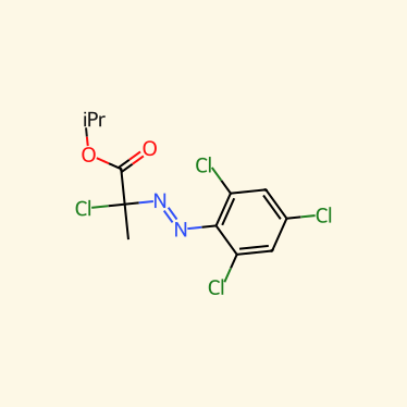 CC(C)OC(=O)C(C)(Cl)/N=N/c1c(Cl)cc(Cl)cc1Cl